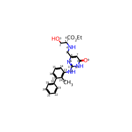 CCOC(=O)[C@@H](CO)NCc1cc(=O)[nH]c(Nc2cccc(-c3ccccc3)c2C)n1